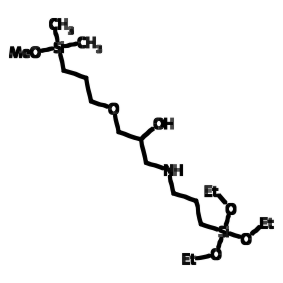 CCO[Si](CCCNCC(O)COCCC[Si](C)(C)OC)(OCC)OCC